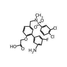 CN(Cc1ccc(OCC(=O)O)c(-c2cc(N)cc(F)c2)c1)S(=O)(=O)c1ccc(Cl)c(Cl)c1